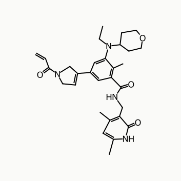 C=CC(=O)N1CC=C(c2cc(C(=O)NCc3c(C)cc(C)[nH]c3=O)c(C)c(N(CC)C3CCOCC3)c2)C1